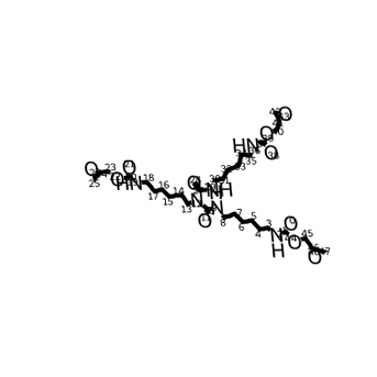 O=C(NCCCCCCNC(=O)N(CCCCCCNC(=O)OCC1CO1)C(=O)NCCCCCCNC(=O)OCC1CO1)OCC1CO1